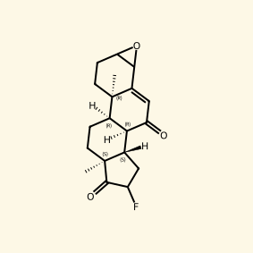 C[C@]12CCC3OC3C1=CC(=O)[C@@H]1[C@H]2CC[C@]2(C)C(=O)C(F)C[C@@H]12